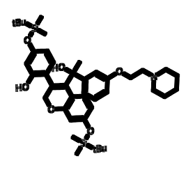 CC(O)(C1=C(c2ccc(O[Si](C)(C)C(C)(C)C)cc2O)COc2cc(O[Si](C)(C)C(C)(C)C)ccc21)c1cccc(OCCN2CCCCC2)c1